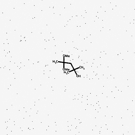 COC(C)(CC(C)(C)O)OC